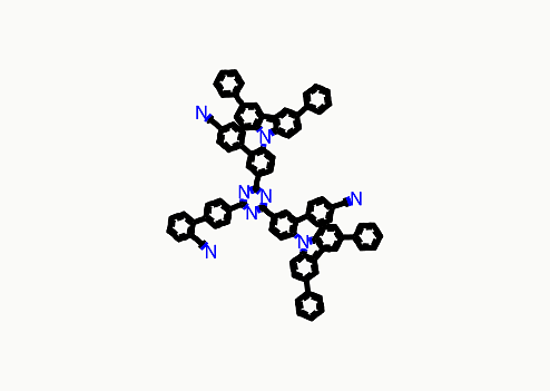 N#Cc1ccc(-c2cc(-c3nc(-c4ccc(-c5ccccc5C#N)cc4)nc(-c4ccc(-n5c6ccc(-c7ccccc7)cc6c6cc(-c7ccccc7)ccc65)c(-c5ccc(C#N)cc5)c4)n3)ccc2-n2c3ccc(-c4ccccc4)cc3c3cc(-c4ccccc4)ccc32)cc1